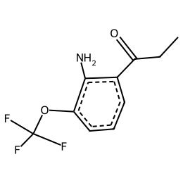 CCC(=O)c1cccc(OC(F)(F)F)c1N